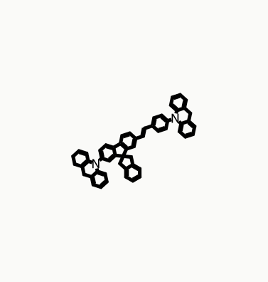 C1=CC2=C(CC1)Cc1ccccc1N2c1ccc2c(c1)C1(Cc3ccccc3C1)c1cc(/C=C/c3ccc(N4c5ccccc5Cc5ccccc54)cc3)ccc1-2